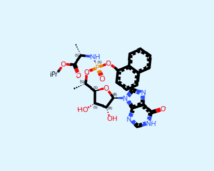 CC(C)OC(=O)[C@H](C)N[P@@](=O)(Oc1cccc2ccccc12)O[C@@H](C)[C@H]1O[C@@H](n2cnc3c(=O)[nH]cnc32)[C@H](O)[C@@H]1O